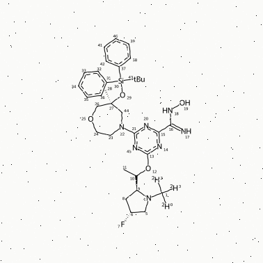 [2H]C([2H])([2H])N1C[C@H](F)C[C@H]1C(C)Oc1nc(C(=N)NO)nc(N2CCOC[C@@](C)(O[Si](c3ccccc3)(c3ccccc3)C(C)(C)C)C2)n1